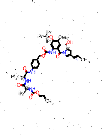 C=CCOC(=O)N[C@H](C(=O)N[C@@H](C)C(=O)Nc1ccc(COC(=O)Nc2cc(O[Si](C(C)C)(C(C)C)C(C)C)c(OC)cc2C(=O)N2C=C(/C=C/C)C[C@H]2CO)cc1)C(C)C